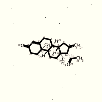 C=C1C[C@H]2[C@@H]3CCC4=CC(=O)CC[C@]4(C)[C@H]3CC[C@]2(C)[C@H]1C(C)=O